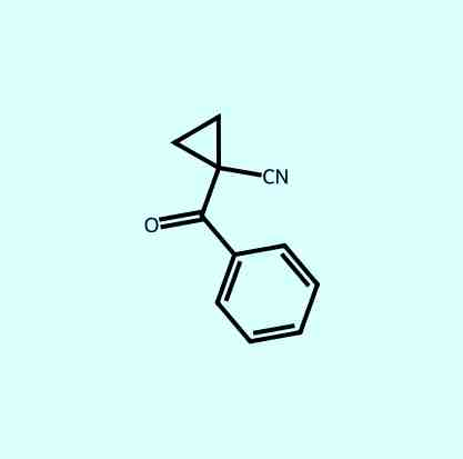 N#CC1(C(=O)c2ccccc2)CC1